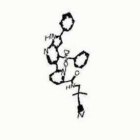 CC(C)(C#N)CNC(=O)c1cccc(-c2cnc3[nH]c(-c4ccccc4)cc3c2S(=O)(=O)c2ccccc2)n1